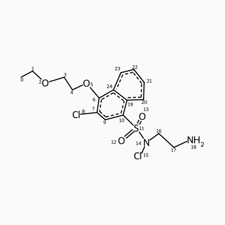 CCOCCOc1c(Cl)cc(S(=O)(=O)N(Cl)CCN)c2ccccc12